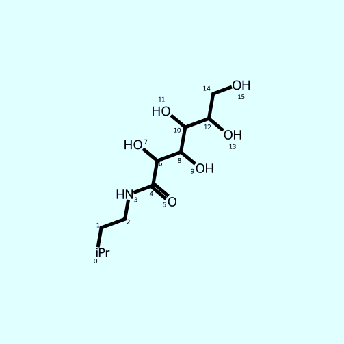 CC(C)CCNC(=O)C(O)C(O)C(O)C(O)CO